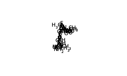 CC[C@@]1(O)C(=O)OCc2c1cc1n(c2=O)Cc2c-1nc1cc(F)c(C)c3c1c2[C@@H](NC(=O)OCc1ccc(NC(=O)[C@H](CCCNC(N)=O)NC(=O)OC(C)(C)C)cc1)CC3